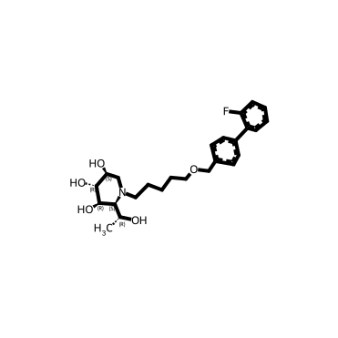 C[C@@H](O)[C@H]1[C@@H](O)[C@H](O)[C@@H](O)CN1CCCCCOCc1ccc(-c2ccccc2F)cc1